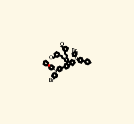 O=Cc1cccc(CCCCC2(CCCCc3cccc(C=O)c3)c3cc(-c4ccc(N(c5ccc(Br)cc5)c5ccc(-c6ccccc6)cc5)cc4)ccc3-c3ccc(N(c4ccc(Br)cc4)c4ccc(-c5ccccc5)cc4)cc32)c1